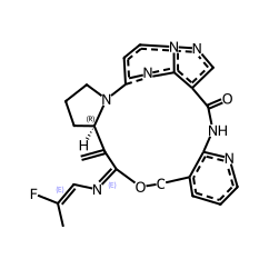 C=C1/C(=N\C=C(/C)F)OCc2cccnc2NC(=O)c2cnn3ccc(nc23)N2CCC[C@H]12